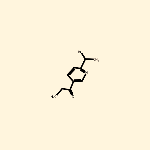 CCC(=O)c1ccc(C(C)Br)nc1